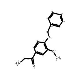 COc1cc(C(=O)CN)ccc1OCc1ccccc1